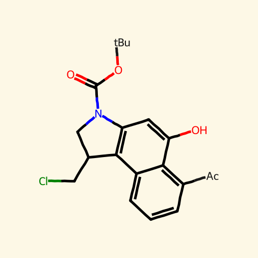 CC(=O)c1cccc2c3c(cc(O)c12)N(C(=O)OC(C)(C)C)CC3CCl